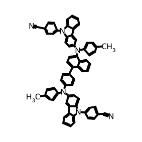 Cc1ccc(N(c2ccc(-c3ccc(N(c4ccc(C)cc4)c4ccc5c(c4)c4ccccc4n5-c4ccc(C#N)cc4)c4ccccc34)cc2)c2ccc3c(c2)c2ccccc2n3-c2ccc(C#N)cc2)cc1